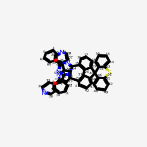 c1ccc(-c2nc(-c3ccccc3)nc(-c3cccc4c3-c3c(-c5cc(-c6ccncc6)nc(-c6ccncc6)c5)cccc3C43c4ccccc4Sc4ccccc43)n2)cc1